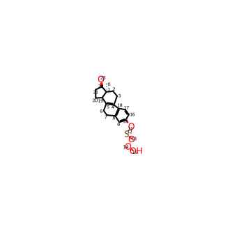 C[C@]12CCC3=C(CCc4cc(OSOOO)ccc43)C1CCC2=O